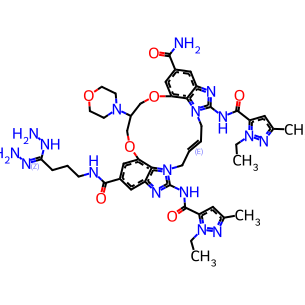 CCn1nc(C)cc1C(=O)Nc1nc2cc(C(N)=O)cc3c2n1C/C=C/Cn1c(NC(=O)c2cc(C)nn2CC)nc2cc(C(=O)NCCC/C(=N/N)NN)cc(c21)OCC(N1CCOCC1)CO3